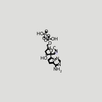 C/N=C\[C@@]1(c2ccc3c(N)ncnn23)O[C@H](COP(=O)(O)OP(=O)(O)O)C[C@H]1O